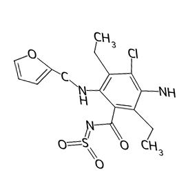 CCc1c(Cl)c(N)c(CC)c(C(=O)N=S(=O)=O)c1NCc1ccco1